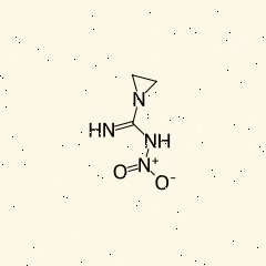 N=C(N[N+](=O)[O-])N1CC1